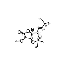 COC1C(=O)O[C@H]2C1OC(C)(C)O[C@@H]2/C=C/C(C)C